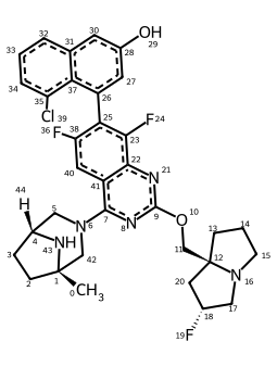 C[C@]12CC[C@H](CN(c3nc(OC[C@@]45CCCN4C[C@H](F)C5)nc4c(F)c(-c5cc(O)cc6cccc(Cl)c56)c(F)cc34)C1)N2